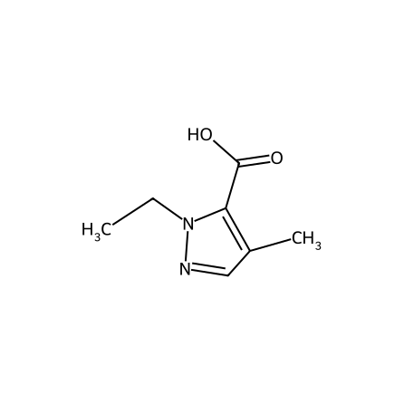 CCn1ncc(C)c1C(=O)O